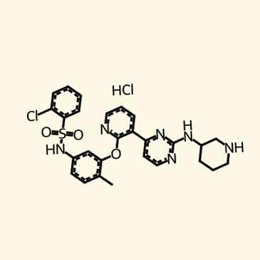 Cc1ccc(NS(=O)(=O)c2ccccc2Cl)cc1Oc1ncccc1-c1ccnc(NC2CCCNC2)n1.Cl